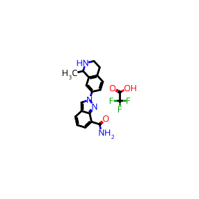 CC1NCCc2ccc(-n3cc4cccc(C(N)=O)c4n3)cc21.O=C(O)C(F)(F)F